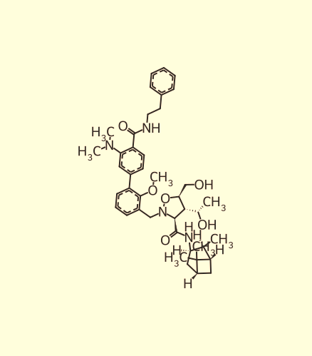 COc1c(CN2O[C@@H](CO)[C@H]([C@H](C)O)[C@H]2C(=O)N[C@@H]2C[C@H]3C[C@@H]([C@@H]2C)C3(C)C)cccc1-c1ccc(C(=O)NCCc2ccccc2)c(N(C)C)c1